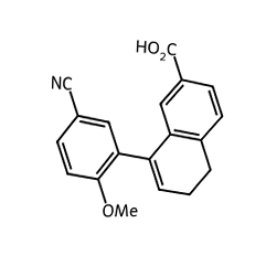 COc1ccc(C#N)cc1C1=CCCc2ccc(C(=O)O)cc21